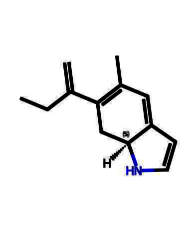 C=C(CC)C1=C(C)C=C2C=CN[C@H]2C1